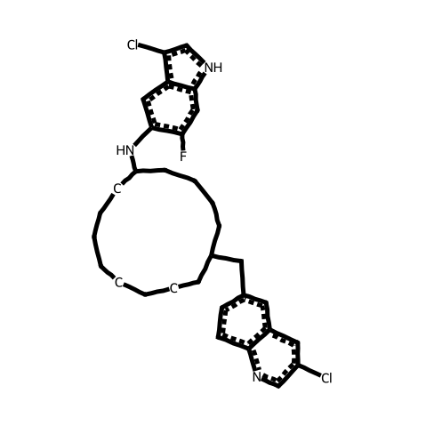 Fc1cc2[nH]cc(Cl)c2cc1NC1CCCCCCCCC(Cc2ccc3ncc(Cl)cc3c2)CCCC1